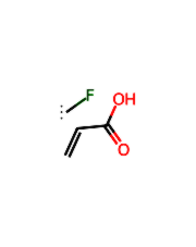 C=CC(=O)O.[C]F